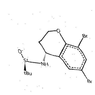 CC(C)(C)[S@@+]([O-])N[C@@H]1CCOc2c(Br)cc(Br)cc21